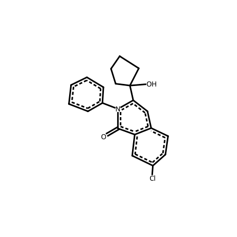 O=c1c2cc(Cl)ccc2cc(C2(O)CCCC2)n1-c1ccccc1